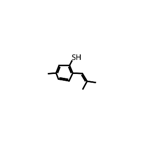 CC(C)=Cc1ccc(C)cc1S